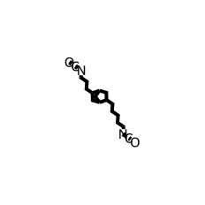 O=C=NCCCCCC1CC2CC1CC2CCCN=C=O